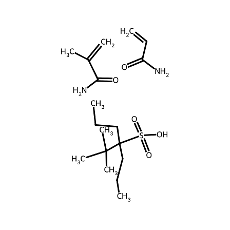 C=C(C)C(N)=O.C=CC(N)=O.CCCC(CCC)(C(C)(C)C)S(=O)(=O)O